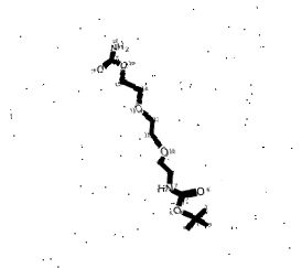 CC(C)(C)OC(=O)NCCOCCOCCOC(N)=O